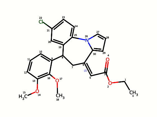 CCOC(=O)/C=C1/CC(c2cccc(OC)c2OC)c2cc(Cl)ccc2-n2cccc21